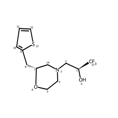 O[C@@H](CN1CCO[C@H](Cc2cccs2)C1)C(F)(F)F